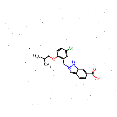 CC(C)COc1ccc(Br)cc1CN1C=C2C=CC(C(=O)O)=CC2N1